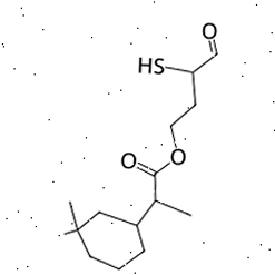 CC(C(=O)OCCC(S)C=O)C1CCCC(C)(C)C1